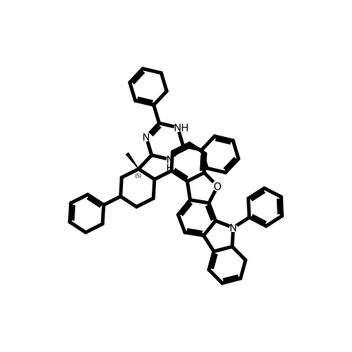 C[C@]1(C2N=C(C3=CC=CCC3)NC(C3C=CC=CC3)N2)CC(C2=CC=CCC2)CCC1c1cccc2oc3c4c(ccc3c12)C1=CC=CCC1N4c1ccccc1